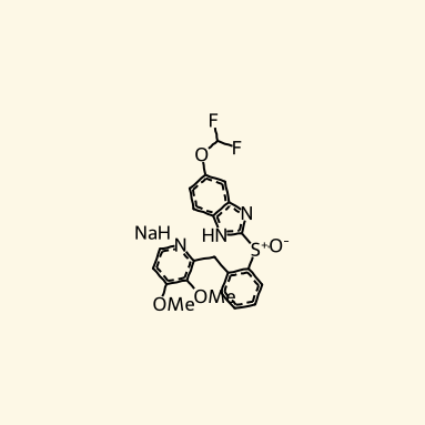 COc1ccnc(Cc2ccccc2[S+]([O-])c2nc3cc(OC(F)F)ccc3[nH]2)c1OC.[NaH]